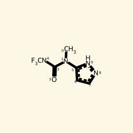 CN(C(=O)NC(F)(F)F)c1ccn[nH]1